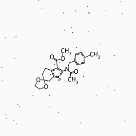 COC(=O)c1c(N(Cc2ccc(C)cc2)C(C)=O)sc2c1CCC1(C2)OCCO1